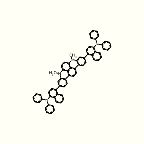 CN1c2cc(-c3ccc(N(c4ccccc4)c4ccccc4)c4ccccc34)ccc2-c2ccc3c4c(ccc1c24)N(C)c1cc(-c2ccc(N(c4ccccc4)c4ccccc4)c4ccccc24)ccc1-3